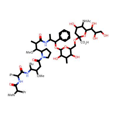 CCC(C)C(NC(=O)C(NC(=O)C(NC)C(C)C)C(C)C)C(CC(=O)N1CCCC1C(OC)C(C)C(=O)NC(C)C(OC1OC(COC2(C(=O)O)CC(O)C(NC(C)=O)C(C(O)C(O)CO)O2)C(O)C(C)C1O)c1ccccc1)OC